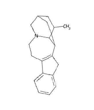 CC1CC2CC3C4=C(CCN(C2)C13)c1ccccc1C4